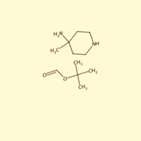 CC(C)(C)OC=O.CC1(N)CCNCC1